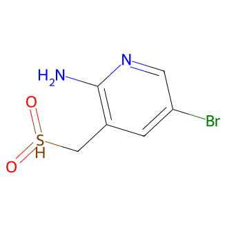 Nc1ncc(Br)cc1C[SH](=O)=O